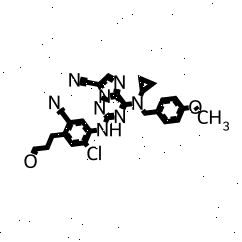 COc1ccc(CN(c2nc(Nc3cc(C#N)c(CCC=O)cc3Cl)nn3c(C#N)cnc23)C2CC2)cc1